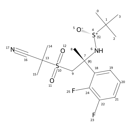 CC(C)(C)[S@@+]([O-])N[C@@](C)(CS(=O)(=O)C(C)(C)C#N)c1cccc(F)c1F